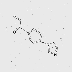 C=CC([O])c1ccc(-n2ccnc2)cc1